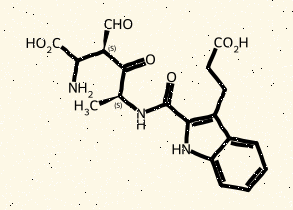 C[C@H](NC(=O)c1[nH]c2ccccc2c1CCC(=O)O)C(=O)[C@H](C=O)C(N)C(=O)O